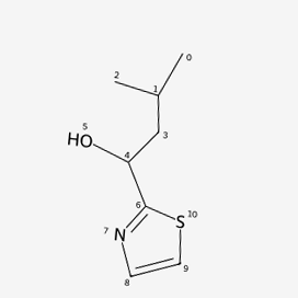 CC(C)CC(O)c1nccs1